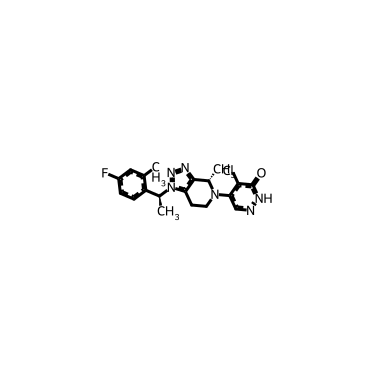 Cc1cc(F)ccc1[C@H](C)n1nnc2c1CCN(c1cn[nH]c(=O)c1Cl)[C@H]2C